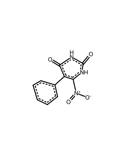 O=c1[nH]c([N+](=O)[O-])c(-c2ccccc2)c(=O)[nH]1